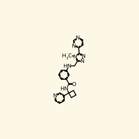 Cn1c(CNc2cccc(C(=O)NC3(c4cccnc4)CCC3)c2)nnc1-c1ccncn1